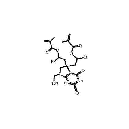 C=C(C)C(=O)OC(CC)CC(CCCO)(CC(CC)OC(=O)C(=C)C)n1c(=O)[nH]c(=O)[nH]c1=O